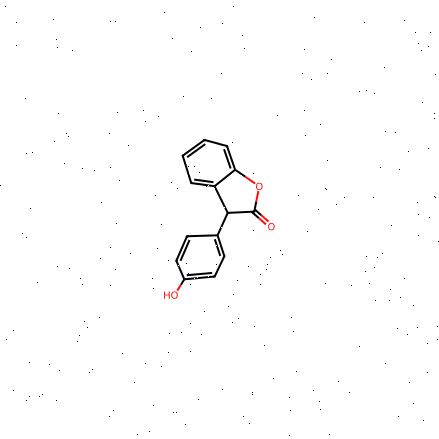 O=C1Oc2ccccc2C1c1ccc(O)cc1